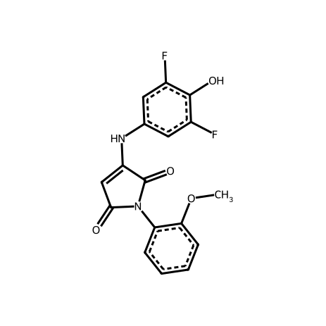 COc1ccccc1N1C(=O)C=C(Nc2cc(F)c(O)c(F)c2)C1=O